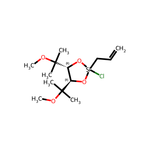 C=CC[Si]1(Cl)O[C@@H](C(C)(C)OC)[C@H](C(C)(C)OC)O1